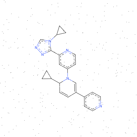 C1=CC(C2CC2)N(c2ccnc(-c3nncn3C3CC3)c2)C=C1c1ccncc1